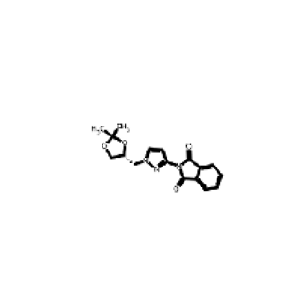 CC1(C)OC[C@@H](Cn2ccc(N3C(=O)c4ccccc4C3=O)n2)O1